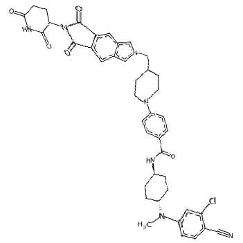 CN(c1ccc(C#N)c(Cl)c1)[C@H]1CC[C@H](NC(=O)c2ccc(N3CCC(Cn4cc5cc6c(cc5c4)C(=O)N(C4CCC(=O)NC4=O)C6=O)CC3)cc2)CC1